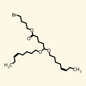 CC/C=C\CCCCOC(CCCC(=O)OCCCCBr)OCCCC/C=C\CC